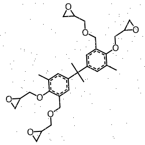 Cc1cc(C(C)(C)c2cc(C)c(OCC3CO3)c(COCC3CO3)c2)cc(COCC2CO2)c1OCC1CO1